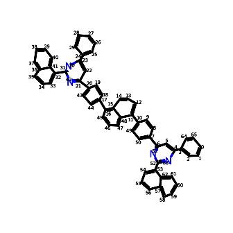 c1ccc(-c2cc(-c3ccc(-c4cccc5c(-c6ccc(-c7cc(-c8ccccc8)nc(-c8cccc9ccccc89)n7)cc6)cccc45)cc3)nc(-c3cccc4ccccc34)n2)cc1